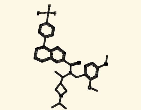 COc1ccc(CN(C(=O)c2ccc3c(-c4ccc(C(F)(F)F)cc4)cccc3c2)C(C)C2CN(C(C)C)C2)c(OC)c1